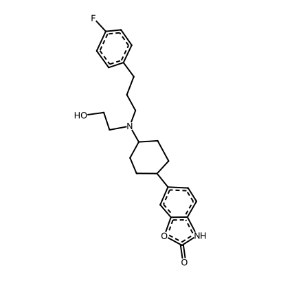 O=c1[nH]c2ccc(C3CCC(N(CCO)CCCc4ccc(F)cc4)CC3)cc2o1